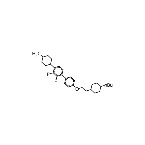 CCCCC1CCC(CCOc2ccc(-c3ccc(C4CCC(C)CC4)c(F)c3F)cc2)CC1